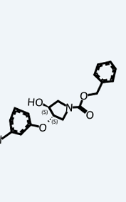 O=C(OCc1ccccc1)N1C[C@H](Oc2cccc(Cl)c2)[C@@H](O)C1